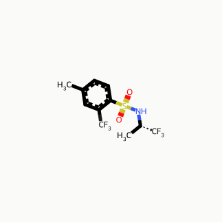 Cc1ccc(S(=O)(=O)N[C@@H](C)C(F)(F)F)c(C(F)(F)F)c1